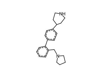 [c]1ccc(-c2ccc(C3CCNCC3)cc2)c(CN2CCCC2)c1